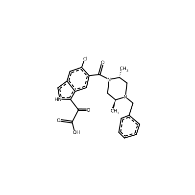 C[C@@H]1CN(Cc2ccccc2)[C@@H](C)CN1C(=O)c1cc2c(C(=O)C(=O)O)[nH]cc2cc1Cl